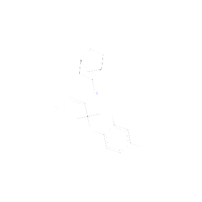 CC(C)(Oc1ccc(Cl)cc1F)C(=NC#N)NC1CC2CCC1C2